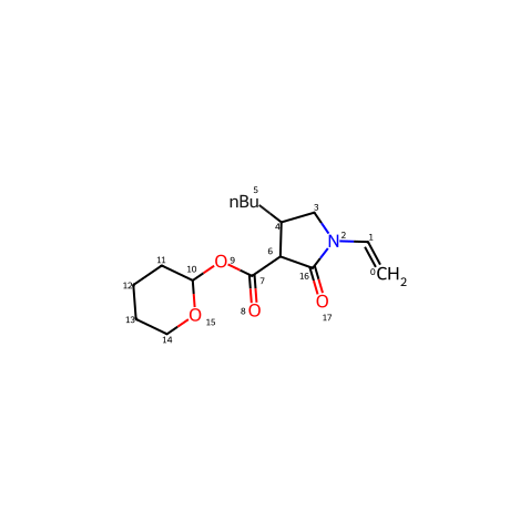 C=CN1CC(CCCC)C(C(=O)OC2CCCCO2)C1=O